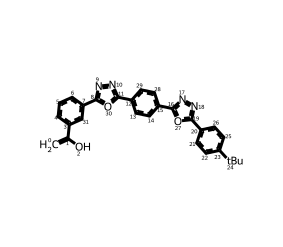 C=C(O)c1cccc(-c2nnc(-c3ccc(-c4nnc(-c5ccc(C(C)(C)C)cc5)o4)cc3)o2)c1